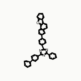 c1ccc(-c2ccc(-c3nc(-c4ccccc4)nc(-c4ccc(-c5ccc6c(ccc7c8ccccc8oc67)c5)cc4)n3)cc2)cc1